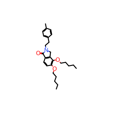 CCCCCOc1ccc2c(c1OCCCCC)CN(CCc1ccc(C)cc1)C2=O